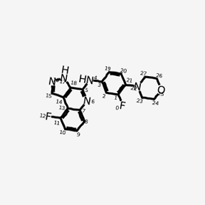 Fc1cc(Nc2nc3cccc(F)c3c3cn[nH]c23)ccc1N1CCOCC1